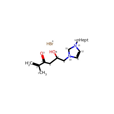 Br.C=C(C)C(=O)CC(O)CN1C=CN(CCCCCCC)C1